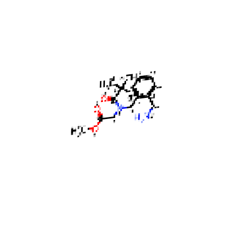 COC(=O)CN(Cc1ccccc1CN)C(=O)C(C)(C)C